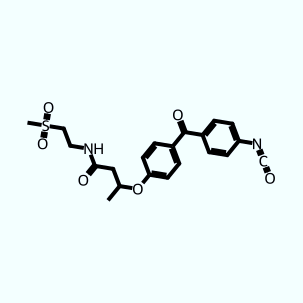 CC(CC(=O)NCCS(C)(=O)=O)Oc1ccc(C(=O)c2ccc(N=C=O)cc2)cc1